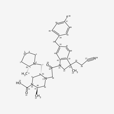 C[C@@H]1COCCN1C[C@H]1CN(C(=O)O)[C@H](C)CN1CC(=O)N1CC(C)(CCC#N)c2ccc(Cc3ccc(F)cc3)cc21